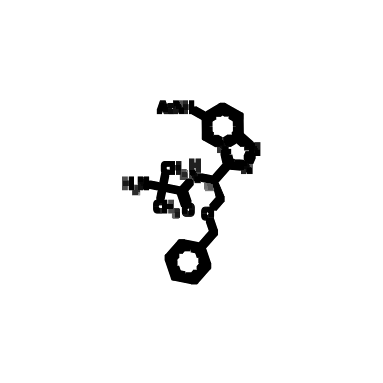 CC(=O)Nc1ccc2nnc([C@@H](COCc3ccccc3)NC(=O)C(C)(C)N)n2c1